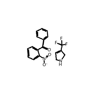 FC(F)(F)C1=CCNC1.O=C(c1ccccc1)c1ccccc1[N+](=O)[O-]